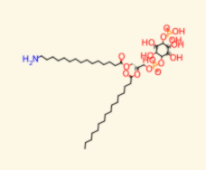 CCCCCCCCCCCCCCCC(=O)O[C@H](COC(=O)CCCCCCCCCCCCCCN)COP(=O)(O)OC1C(O)[C@@H](O)C(OP(=O)(O)O)[C@@H](O)[C@H]1O